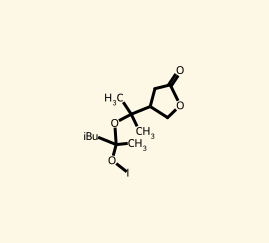 CCC(C)C(C)(OI)OC(C)(C)C1COC(=O)C1